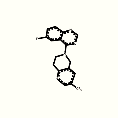 Fc1ccc2ncnc(N3CCc4ncc(C(F)(F)F)cc4C3)c2c1